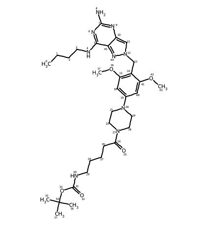 CCCCNc1nc(N)nc2cn(Cc3c(OC)cc(N4CCN(C(=O)CCCCNC(=O)OC(C)(C)C)CC4)cc3OC)nc12